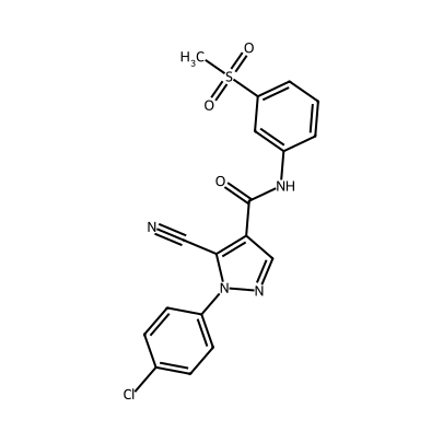 CS(=O)(=O)c1cccc(NC(=O)c2cnn(-c3ccc(Cl)cc3)c2C#N)c1